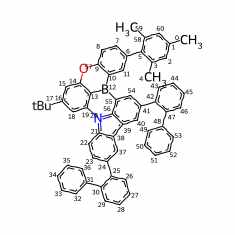 Cc1cc(C)c(-c2ccc3c(c2)B2c4c(cc(C(C)(C)C)cc4-n4c5ccc(-c6ccccc6-c6ccccc6)cc5c5cc(-c6ccccc6-c6ccccc6)cc2c54)O3)c(C)c1